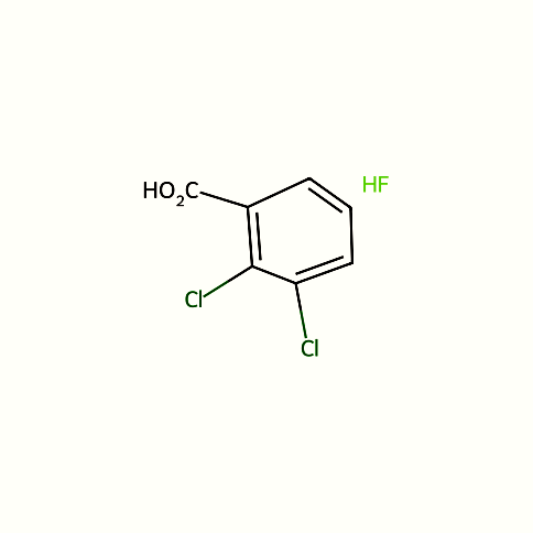 F.O=C(O)c1cccc(Cl)c1Cl